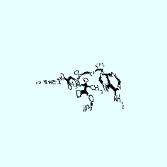 CCCCCCOC(=O)CNP(=O)(CO[C@H](C)Cn1cnc2c(N)ncnc21)OC(C)(C)C(=O)OC(C)C